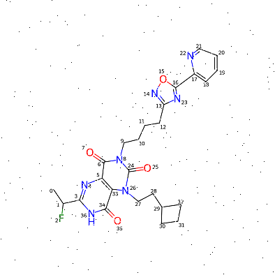 CC(F)c1nc2c(=O)n(CCCCc3noc(-c4ccccn4)n3)c(=O)n(CCC3CCC3)c2c(=O)[nH]1